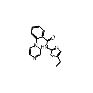 CCc1cnc(NC(=O)c2ccccc2N2C=CN=CC2)s1